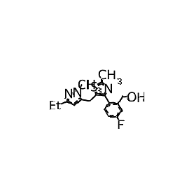 CCc1cc(Cc2sc(C)nc2-c2ccc(F)cc2CO)n(C)n1